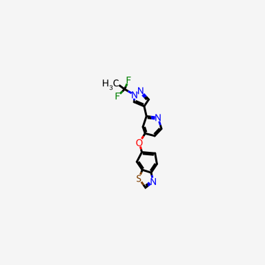 CC(F)(F)n1cc(-c2cc(Oc3ccc4ncsc4c3)ccn2)cn1